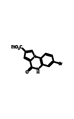 CCOC(=O)c1cc2c(=O)[nH]c3cc(Br)ccc3n2c1